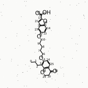 CCCc1c(OCCCCCOc2ccc3oc(C(=O)O)cc3c2)ccc2c1OCCC2=O